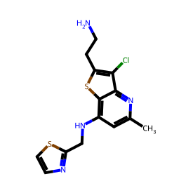 Cc1cc(NCc2nccs2)c2sc(CCN)c(Cl)c2n1